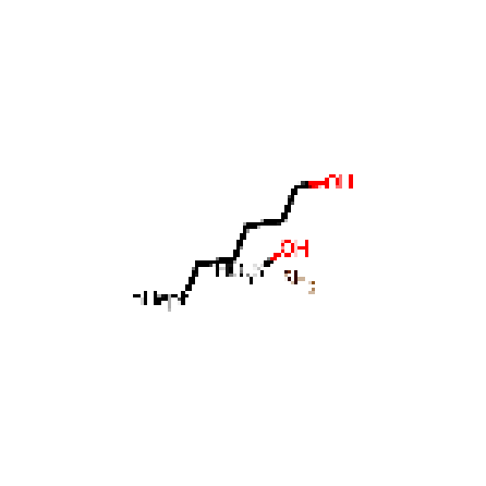 CCCCCCCCCCCCO.O=S(=O)(O)O.S